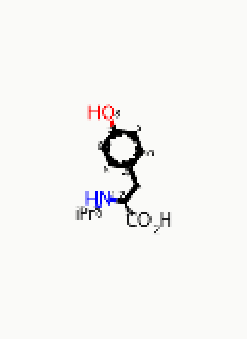 CC(C)N[C@@H](Cc1ccc(O)cc1)C(=O)O